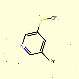 CC(C)c1[c]ncc(SC(F)(F)F)c1